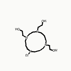 CCN1CCCN(CCO)CCCN(CCO)CCN(CCO)CCC1